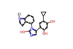 CCn1ccc2c(-n3c(-c4cc(C5CC5)c(O)cc4O)cnc3O)cccc21